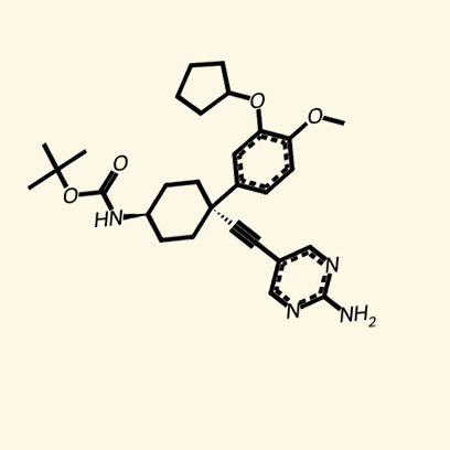 COc1ccc([C@]2(C#Cc3cnc(N)nc3)CC[C@H](NC(=O)OC(C)(C)C)CC2)cc1OC1CCCC1